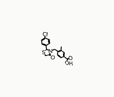 Cc1cc(C(=O)O)ccc1CN1C(=O)CSC1c1ccc(Cl)cc1